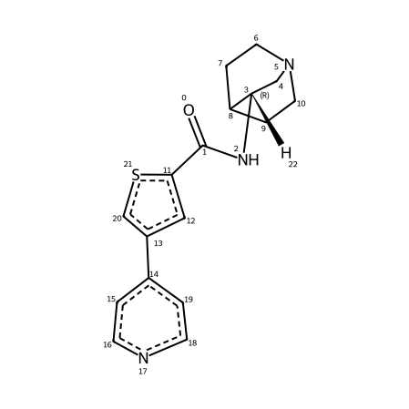 O=C(N[C@H]1CN2CCC1CC2)c1cc(-c2ccncc2)cs1